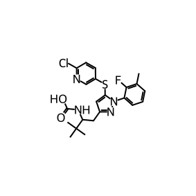 Cc1cccc(-n2nc(CC(NC(=O)O)C(C)(C)C)cc2Sc2ccc(Cl)nc2)c1F